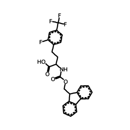 O=C(NC(CCc1ccc(C(F)(F)F)cc1F)C(=O)O)OCC1c2ccccc2-c2ccccc21